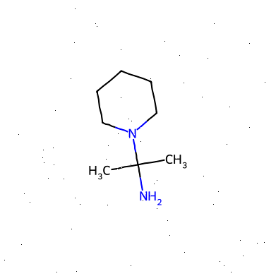 CC(C)(N)N1CCCCC1